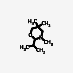 CC(C)C1OCC(C)(C)CN1C